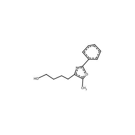 Cc1oc(-c2ccccc2)nc1CCCCO